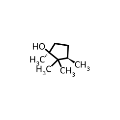 C[C@@H]1CC[C@](C)(O)C1(C)C